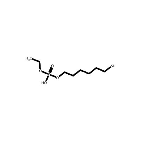 CCOP(=O)(O)OCCCCCCS